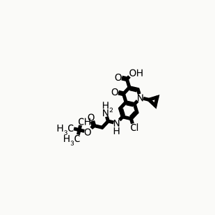 CC(C)(C)OC(=O)CC(N)Nc1cc2c(=O)c(C(=O)O)cn(C3CC3)c2cc1Cl